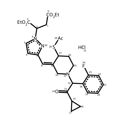 CCOC(=O)CC(C(=O)OCC)n1ccc(C=C2CN(C(C(=O)C3CC3)c3ccccc3F)CCC2SC(C)=O)n1.Cl